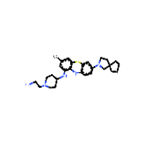 NCCN1CCC(Nc2cc(C(F)(F)F)cc3c2Nc2ccc(N4CCC5(CCCC5)C4)cc2S3)CC1